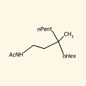 CCCCCCC(C)(CCCCC)CCNC(C)=O